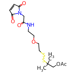 CC(=O)OCC(C)(C)SSCCOCCNC(=O)CN1C(=O)C=CC1=O